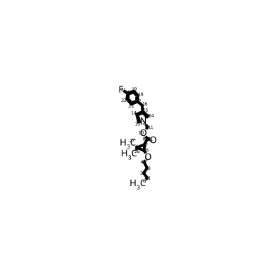 CCCCCOC1C(C(=O)OCn2ccc(Cc3ccc(F)cc3)c2)C1(C)C